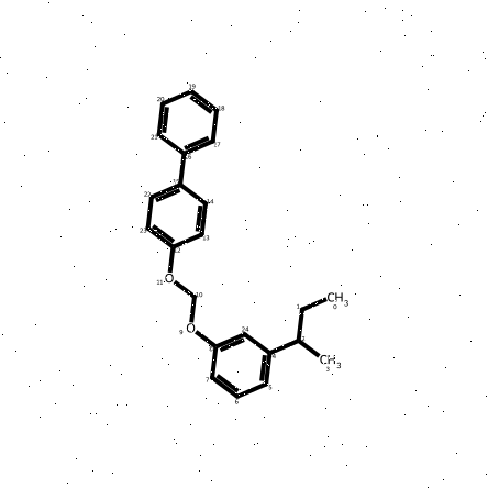 CCC(C)c1cccc(OCOc2ccc(-c3ccccc3)cc2)c1